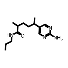 CCCNC(=O)C(C)CCC(C)c1cnc(N)nc1